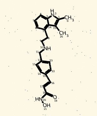 Cc1[nH]c2cccc(CCNCc3ccc(/C=C/C(=O)NO)cc3)c2c1C